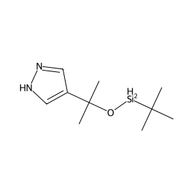 CC(C)(C)[SiH2]OC(C)(C)c1cn[nH]c1